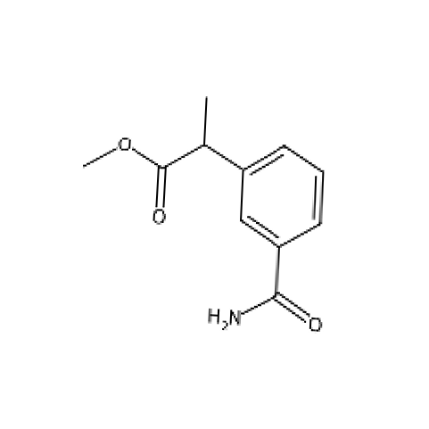 COC(=O)C(C)c1cccc(C(N)=O)c1